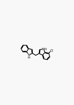 Clc1cccc2c(Cc3cc4ccccc4[nH]3)c[nH]c12